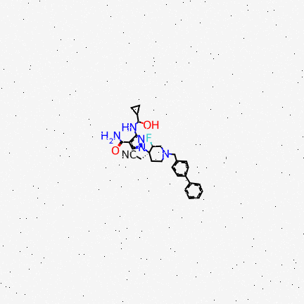 N#CC[C@@]1(n2cc(C(N)=O)c(NC(O)C3CC3)n2)CCN(Cc2ccc(-c3ccccc3)cc2)C[C@@H]1F